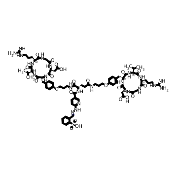 CC(C)[C@@H]1NC(=O)[C@@H](Cc2ccc(OCCCNC(=O)CC[C@H](NC(=O)c3ccc(N/N=C/c4ccccc4S(=O)(=O)O)nc3)C(=O)NCCCOc3ccc(C[C@H]4NC(=O)[C@H](CC(=O)O)NC(=O)CNC(=O)[C@H](CCCNC(=N)N)NC(=O)[C@H](C(C)C)NC4=O)cc3)cc2)NC(=O)[C@H](CC(=O)O)NC(=O)CNC(=O)[C@H](CCCNC(=N)N)NC1=O